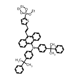 CCO[Si](OCC)(OCC)c1ccc(/C=C/c2c3ccccc3c(N(c3ccc(C(C)(C)c4ccccc4)cc3)c3ccc(C(C)(C)c4ccccc4)cc3)c3ccccc23)s1